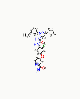 Cc1cccc(-n2nc(C3CCCC3)cc2NC(=O)Nc2ccc(Oc3ccnc(C(N)=O)c3)cc2Cl)c1